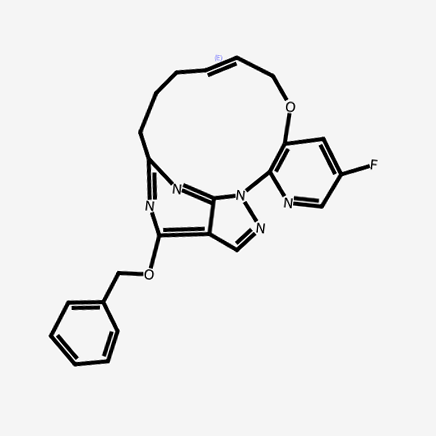 Fc1cnc2c(c1)OC/C=C/CCCc1nc(OCc3ccccc3)c3cnn-2c3n1